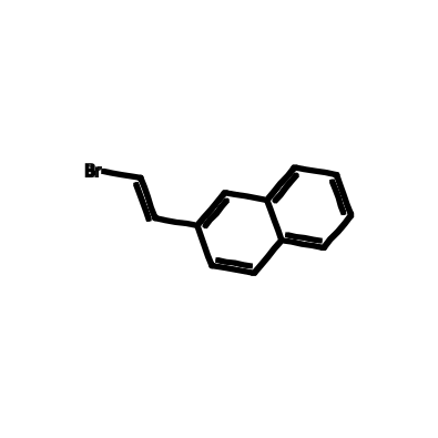 BrC=Cc1ccc2ccccc2c1